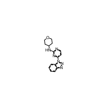 c1ccc2c(c1)nnn2-c1ccnc(NC2CCOCC2)n1